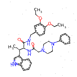 CCOc1ccc(CNC(=O)C(NC(=O)CN2CCN(c3ccccc3)CC2)C(C)c2c[nH]c3ccccc23)cc1OCC